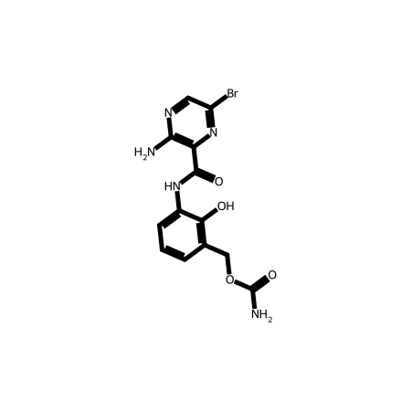 NC(=O)OCc1cccc(NC(=O)c2nc(Br)cnc2N)c1O